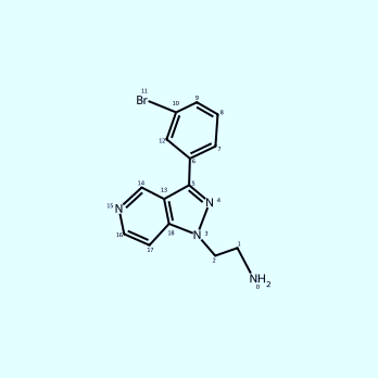 NCCn1nc(-c2cccc(Br)c2)c2cnccc21